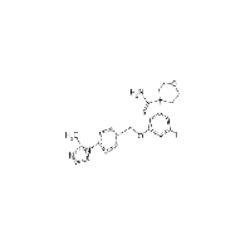 Cc1nccn1-c1ccc(COc2cc(F)cc(C3(C(N)=S)CCOCC3)c2)cc1